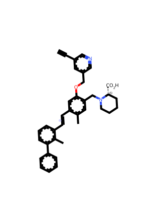 C#Cc1cncc(COc2cc(/C=C/c3cccc(-c4ccccc4)c3C)c(C)cc2CN2CCCC[C@H]2C(=O)O)c1